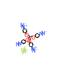 F[B-](F)(F)F.[N-]=[N+]=C1C=CC(OCC(COC2=CCC(=[N+]=[N-])C=C2)(COC2=CCC(=[N+]=[N-])C=C2)COC2=CCC(=[N+]=[N-])C=C2)=CC1